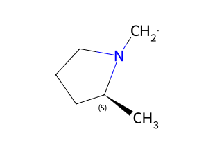 [CH2]N1CCC[C@@H]1C